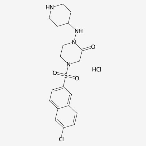 Cl.O=C1CN(S(=O)(=O)c2ccc3cc(Cl)ccc3c2)CCN1NC1CCNCC1